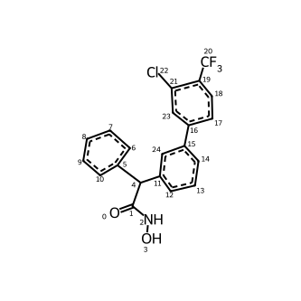 O=C(NO)C(c1ccccc1)c1cccc(-c2ccc(C(F)(F)F)c(Cl)c2)c1